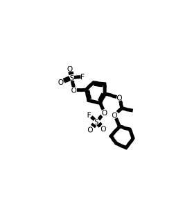 CC(Oc1ccc(OS(=O)(=O)F)cc1OS(=O)(=O)F)OC1CCCCC1